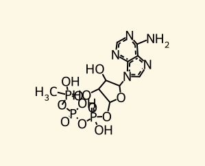 CP(=O)(O)OP(=O)(O)OP(=O)(O)OC1OC(n2cnc3c(N)ncnc32)C(O)C1O